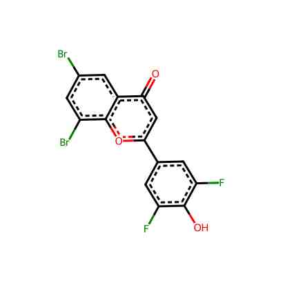 O=c1cc(-c2cc(F)c(O)c(F)c2)oc2c(Br)cc(Br)cc12